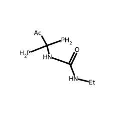 CCNC(=O)NC(P)(P)C(C)=O